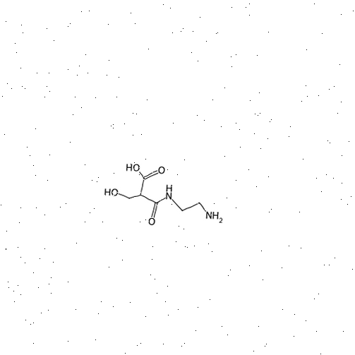 NCCNC(=O)C(CO)C(=O)O